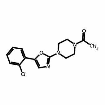 CC(=O)N1CCN(c2ncc(-c3ccccc3Cl)o2)CC1